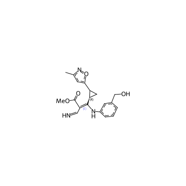 COC(=O)/C(C=N)=C(/Nc1cccc(CO)c1)[C@@H]1CC1c1cc(C)no1